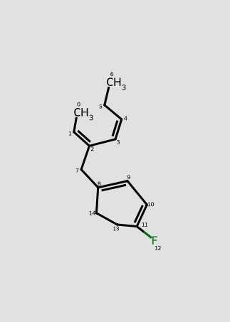 C/C=C(\C=C/CC)CC1=CC=C(F)CC1